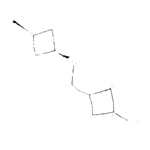 C[C@H]1C[C@@H](OCC2CC(O)C2)C1